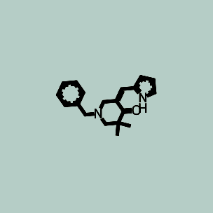 CC1(C)CN(Cc2ccccc2)C/C(=C/c2ccc[nH]2)C1=O